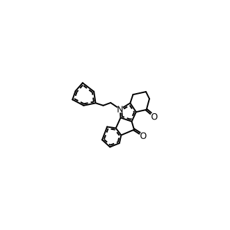 O=C1CCCc2c1c1c(n2CCc2ccccc2)-c2ccccc2C1=O